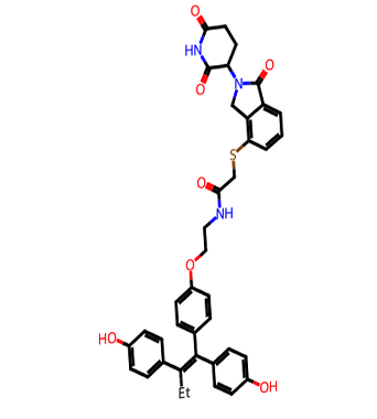 CC/C(=C(\c1ccc(O)cc1)c1ccc(OCCNC(=O)CSc2cccc3c2CN(C2CCC(=O)NC2=O)C3=O)cc1)c1ccc(O)cc1